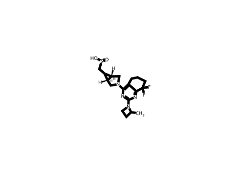 CC1CCN1c1nc(N2C[C@@H]3C(CS(=O)O)[C@@H]3C2)c2c(n1)C(F)(F)CCC2